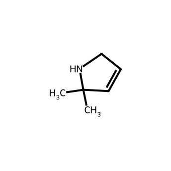 CC1(C)C=CCN1